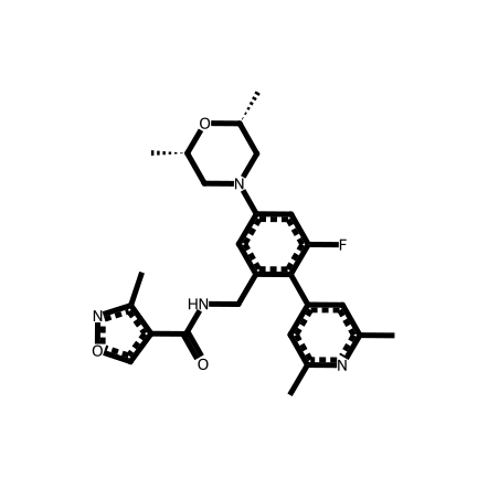 Cc1cc(-c2c(F)cc(N3C[C@@H](C)O[C@@H](C)C3)cc2CNC(=O)c2conc2C)cc(C)n1